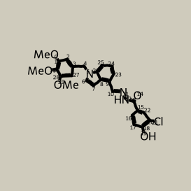 COc1cc(Cn2ccc3c(/C=N/NC(=O)c4ccc(O)c(Cl)c4)cccc32)cc(OC)c1OC